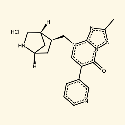 Cc1nc2n(C[C@H]3C[C@H]4C[C@@H]3CN4)cc(-c3cccnc3)c(=O)n2n1.Cl